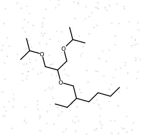 CCCCC(CC)COC(COC(C)C)COC(C)C